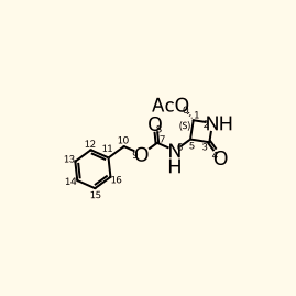 CC(=O)O[C@@H]1NC(=O)C1NC(=O)OCc1ccccc1